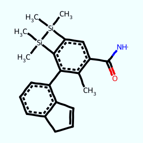 Cc1c(C([NH])=O)cc2c(c1-c1cccc3c1C=CC3)[Si](C)(C)[Si]2(C)C